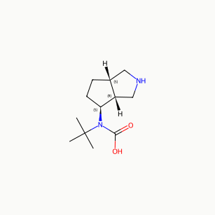 CC(C)(C)N(C(=O)O)[C@H]1CC[C@@H]2CNC[C@@H]21